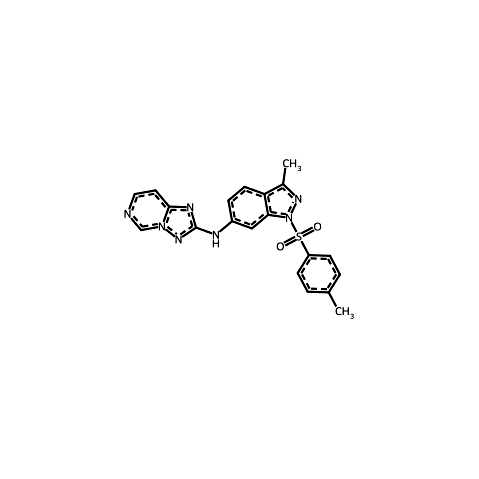 Cc1ccc(S(=O)(=O)n2nc(C)c3ccc(Nc4nc5ccncn5n4)cc32)cc1